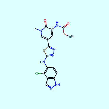 CCCOC(=O)Nc1cc(-c2nnc(Nc3ccc4[nH]ncc4c3Cl)s2)cn(C)c1=O